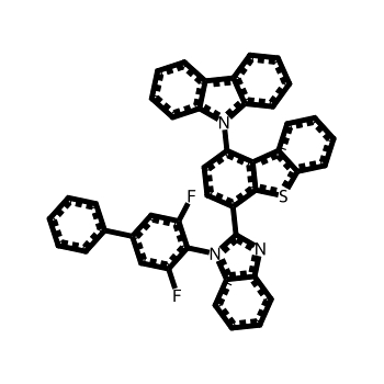 Fc1cc(-c2ccccc2)cc(F)c1-n1c(-c2ccc(-n3c4ccccc4c4ccccc43)c3c2sc2ccccc23)nc2ccccc21